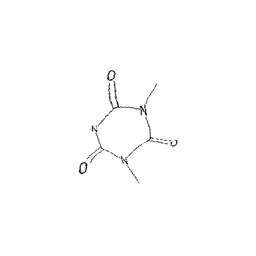 CN1C(=O)[N]C(=O)N(C)C1=O